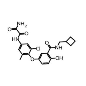 Cc1cc(NC(=O)C(N)=O)cc(Cl)c1Oc1ccc(O)c(C(=O)NCC2CCC2)c1